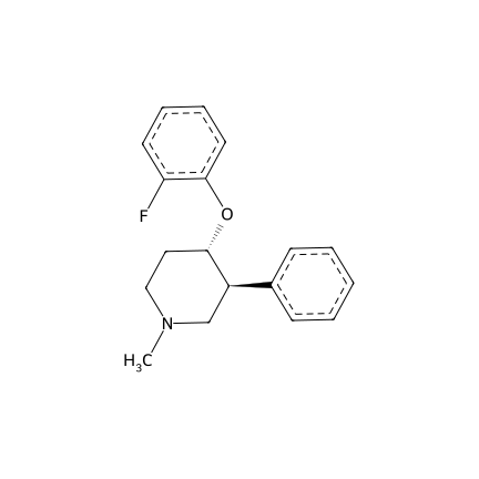 CN1CC[C@H](Oc2ccccc2F)[C@@H](c2ccccc2)C1